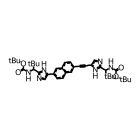 CC(C)(C)OC(=O)NC(c1ncc(C#Cc2ccc3cc(-c4cnc(C(NC(=O)OC(C)(C)C)C(C)(C)C)[nH]4)ccc3c2)[nH]1)C(C)(C)C